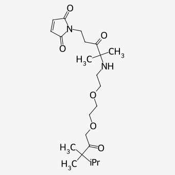 CC(C)C(C)(C)C(=O)COCCOCCNC(C)(C)C(=O)CCN1C(=O)C=CC1=O